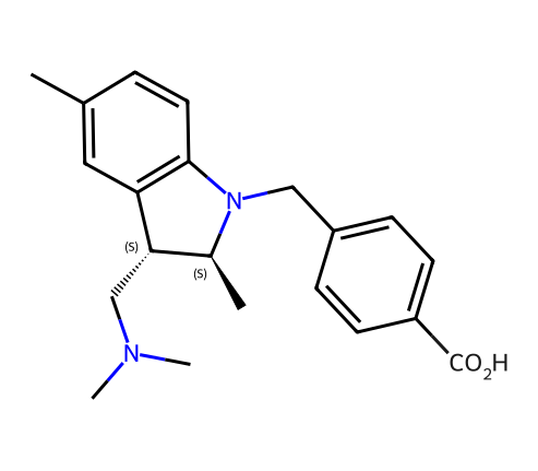 Cc1ccc2c(c1)[C@@H](CN(C)C)[C@H](C)N2Cc1ccc(C(=O)O)cc1